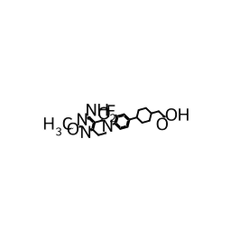 COc1nc(N)c2c(n1)CCN(c1ccc(C3CCC(CC(=O)O)CC3)cc1F)C2=O